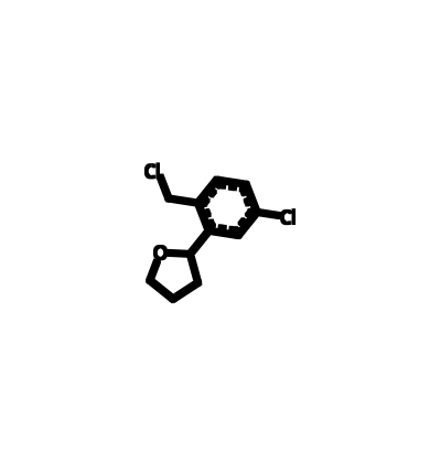 ClCc1ccc(Cl)cc1C1CCCO1